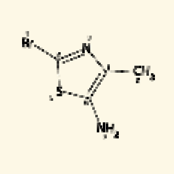 Cc1nc(Br)sc1N